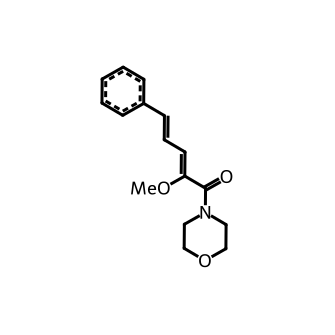 CO/C(=C\C=C\c1ccccc1)C(=O)N1CCOCC1